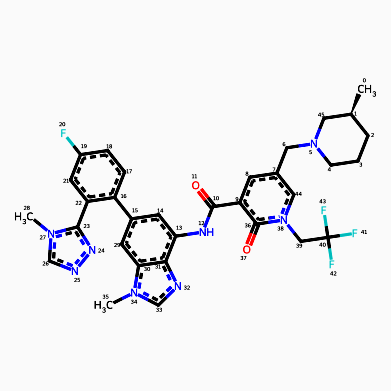 C[C@H]1CCCN(Cc2cc(C(=O)Nc3cc(-c4ccc(F)cc4-c4nncn4C)cc4c3ncn4C)c(=O)n(CC(F)(F)F)c2)C1